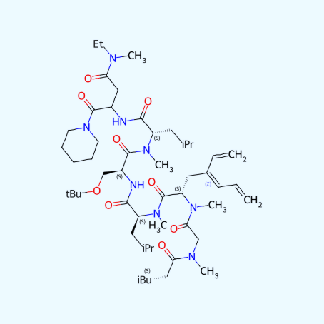 C=C/C=C(\C=C)C[C@@H](C(=O)N(C)[C@@H](CC(C)C)C(=O)N[C@@H](COC(C)(C)C)C(=O)N(C)[C@@H](CC(C)C)C(=O)NC(CC(=O)N(C)CC)C(=O)N1CCCCC1)N(C)C(=O)CN(C)C(=O)C[C@@H](C)CC